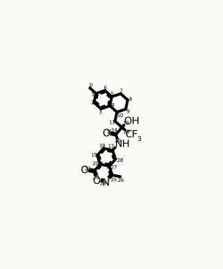 Cc1ccc2c(c1)CCCC2CC(O)(C(=O)Nc1ccc2c(=O)onc(C)c2c1)C(F)(F)F